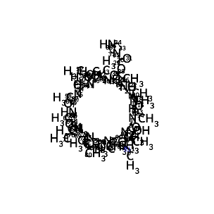 C/C=C/C[C@@H](C)[C@@H](O)C1C(=O)N[C@@H](CC)C(=O)N(C)[C@H](C)C(=O)N[C@@H]([C@H](C)COCC(=O)N2CCNCC2)C(=O)N[C@@H](C(C)C)C(=O)N(C)[C@@H](CC(C)C)C(=O)N[C@@H](C)C(=O)N[C@H](C)C(=O)N(C)[C@@H](CC(C)C)C(=O)N(C)[C@@H](CC(C)C)C(=O)N(C)[C@@H](C(C)C)C(=O)N1C